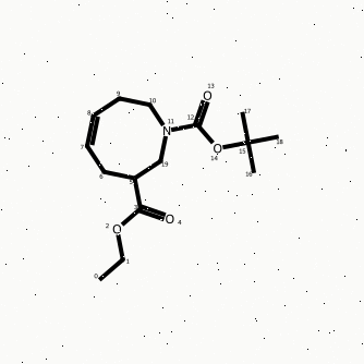 CCOC(=O)C1C/C=C\CCN(C(=O)OC(C)(C)C)C1